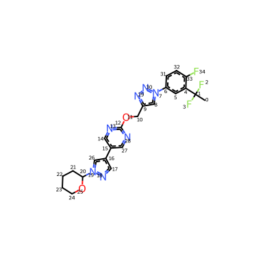 CC(F)(F)c1cc(-n2cc(COc3ncc(-c4cnn(C5CCCCO5)c4)cn3)nn2)ccc1F